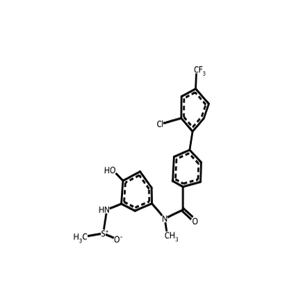 CN(C(=O)c1ccc(-c2ccc(C(F)(F)F)cc2Cl)cc1)c1ccc(O)c(N[S+](C)[O-])c1